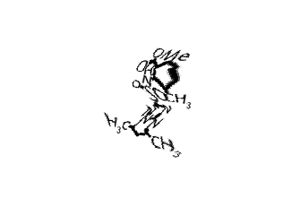 COC(=O)c1cccc(C)c1NS(=O)(=O)c1nc2nc(C)cc(C)n2n1